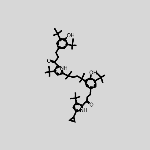 CC(C)(C)c1cc(C2CC2)[nH]c1C(=O)CCc1cc(C(C)(C)C)c(O)c(C(C)(C)CCC(C)(C)c2cc(C(C)(C)C)c(C(=O)CCc3cc(C(C)(C)C)c(O)c(C(C)(C)C)c3)[nH]2)c1